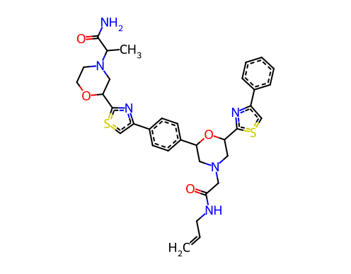 C=CCNC(=O)CN1CC(c2ccc(-c3csc(C4CN(C(C)C(N)=O)CCO4)n3)cc2)OC(c2nc(-c3ccccc3)cs2)C1